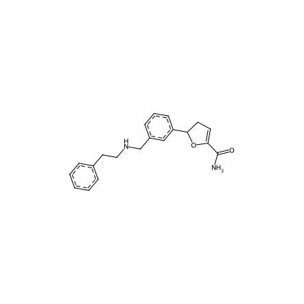 NC(=O)C1=CCC(c2cccc(CNCCc3ccccc3)c2)O1